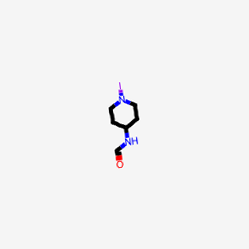 O=CNC1CCN(I)CC1